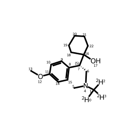 [2H]C([2H])([2H])N(C)C[C@H](c1ccc(OC)cc1)C1(O)CCCCC1